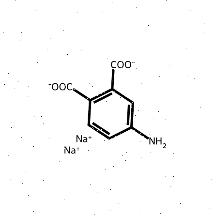 Nc1ccc(C(=O)[O-])c(C(=O)[O-])c1.[Na+].[Na+]